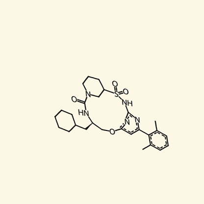 Cc1cccc(C)c1-c1cc2nc(n1)NS(=O)(=O)C1CCCN(C1)C(=O)N[C@H](CC1CCCCC1)CO2